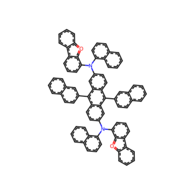 c1ccc2cc(-c3c4ccc(N(c5cccc6ccccc56)c5cccc6c5oc5ccccc56)cc4c(-c4ccc5ccccc5c4)c4ccc(N(c5cccc6ccccc56)c5cccc6c5oc5ccccc56)cc34)ccc2c1